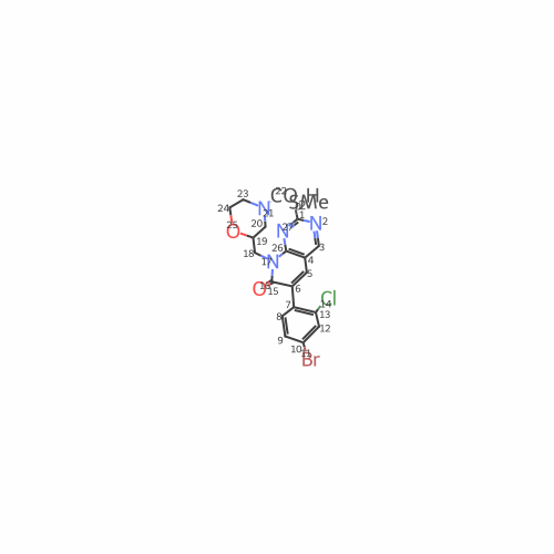 CSc1ncc2cc(-c3ccc(Br)cc3Cl)c(=O)n(CC3CN(C(=O)O)CCO3)c2n1